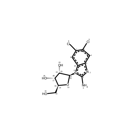 Nc1nc2cc(Cl)c(Cl)cc2n1[C@H]1O[C@@H](CO)[C@H](O)[C@@H]1O